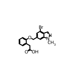 Cn1ncc2c(Br)cc(COc3ccccc3CC(=O)O)cc21